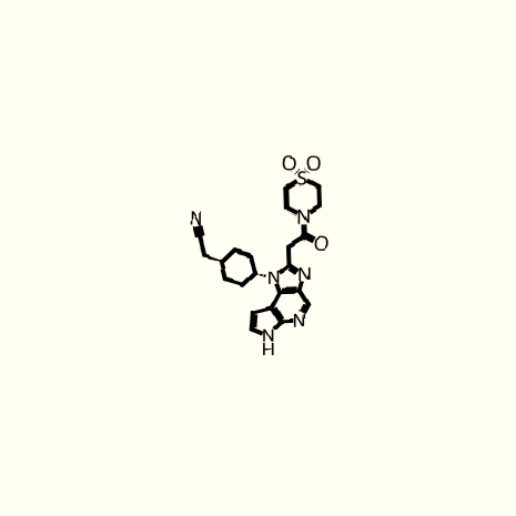 N#CC[C@H]1CC[C@H](n2c(CC(=O)N3CCS(=O)(=O)CC3)nc3cnc4[nH]ccc4c32)CC1